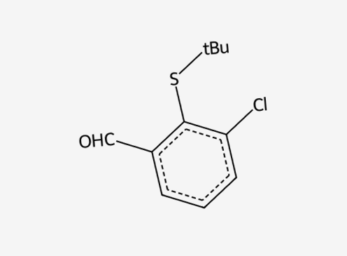 CC(C)(C)Sc1c(Cl)cccc1C=O